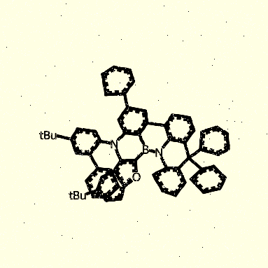 CC(C)(C)c1ccc(N2c3cc(-c4ccccc4)cc4c3B(c3oc5ccc(C(C)(C)C)cc5c32)N2c3ccccc3C(c3ccccc3)(c3ccccc3)c3cccc-4c32)c(-c2ccccc2)c1